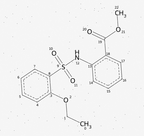 CCOc1ccccc1S(=O)(=O)Nc1ccccc1C(=O)OC